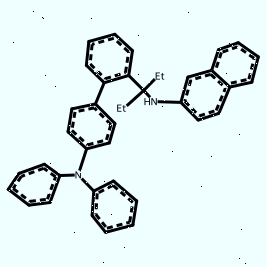 CCC(CC)(Nc1ccc2ccccc2c1)c1ccccc1-c1ccc(N(c2ccccc2)c2ccccc2)cc1